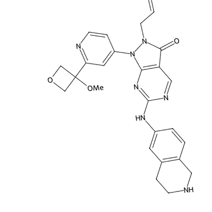 C=CCn1c(=O)c2cnc(Nc3ccc4c(c3)CCNC4)nc2n1-c1ccnc(C2(OC)COC2)c1